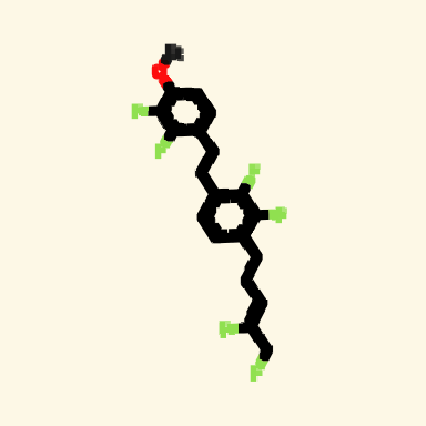 CCOc1ccc(CCc2ccc(CCC=C(F)CF)c(F)c2F)c(F)c1F